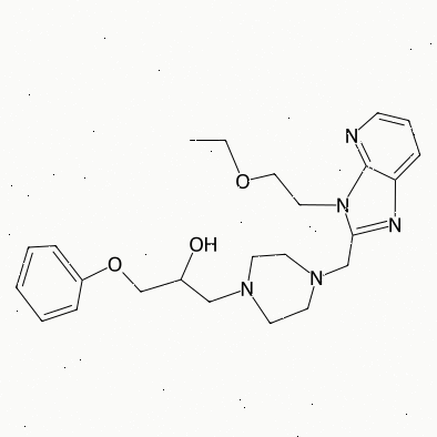 CCOCCn1c(CN2CCN(CC(O)COc3ccccc3)CC2)nc2cccnc21